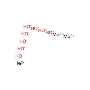 [Mn+2].[Mo+4].[Ni+2].[OH-].[OH-].[OH-].[OH-].[OH-].[OH-].[OH-].[OH-]